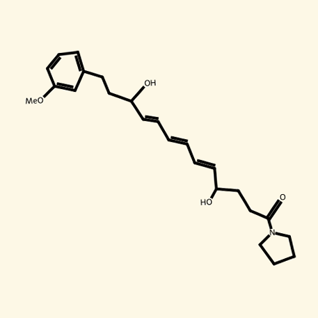 COc1cccc(CCC(O)/C=C/C=C/C=C/C(O)CCC(=O)N2CCCC2)c1